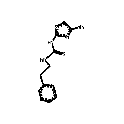 CCCc1csc(NC(=S)NCCc2ccccc2)n1